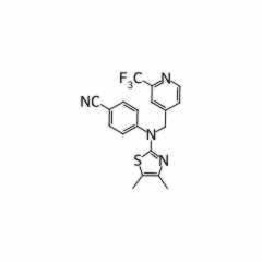 Cc1nc(N(Cc2ccnc(C(F)(F)F)c2)c2ccc(C#N)cc2)sc1C